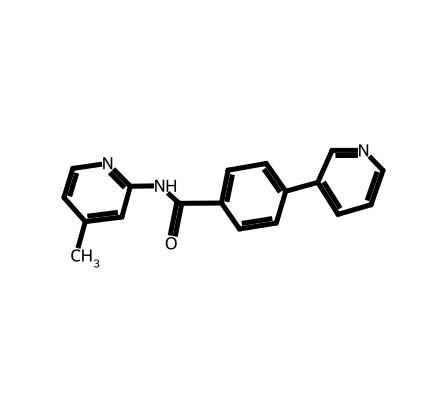 Cc1ccnc(NC(=O)c2ccc(-c3cccnc3)cc2)c1